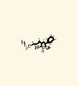 CCCCC(CBr)CC(C(=O)O)c1ccccc1